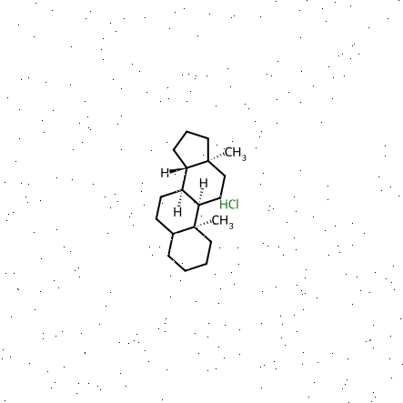 C[C@@]12CCC[C@H]1[C@@H]1CCC3CCCC[C@]3(C)[C@@H]1CC2.Cl